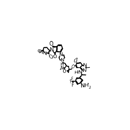 CNC(=O)C(CCN1CCN(c2cccc3c2C(=O)N(C2CCC(=O)NC2=O)C3=O)CC1)CC1(COc2cc3c(NC(C)c4cc(N)cc(C(F)(F)F)c4)nc(C)nc3cc2OC)CC1